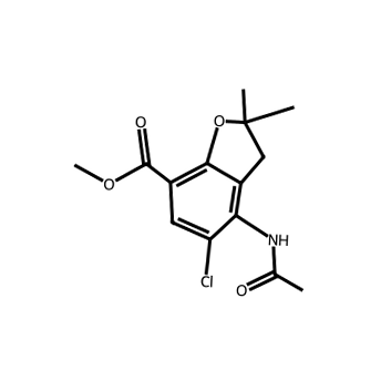 COC(=O)c1cc(Cl)c(NC(C)=O)c2c1OC(C)(C)C2